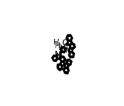 CC1(C)c2ccccc2-c2ccc3c4ccccc4n(-c4cccc(-c5nc6ccccc6c6c7c(ccc56)C5(c6ccccc6-c6ccccc65)c5ccccc5-7)c4)c3c21